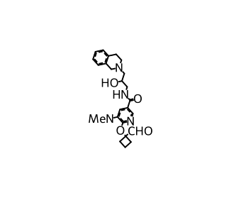 CNc1cc(C(=O)NCC(O)CN2CCc3ccccc3C2)cnc1OC1(C=O)CCC1